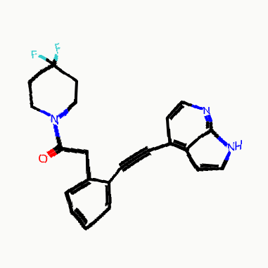 O=C(Cc1ccccc1C#Cc1ccnc2[nH]ccc12)N1CCC(F)(F)CC1